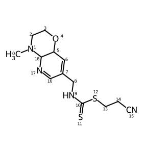 CN1CCOC2C=C(CNC(=S)SCCC#N)C=NC21